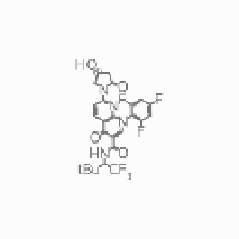 CC(C)(C)C(NC(=O)c1cn(-c2c(F)cc(F)cc2F)c2nc(N3C[C@@H](O)CC3=O)ccc2c1=O)C(F)(F)F